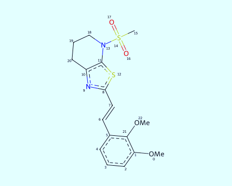 COc1cccc(C=Cc2nc3c(s2)N(S(C)(=O)=O)CCC3)c1OC